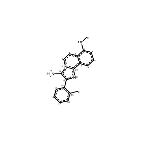 CSc1cccc2c1ccn1c(N)c(-c3ccccc3C)nc21